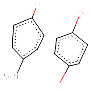 CNc1ccc(O)cc1.Oc1ccc(O)cc1